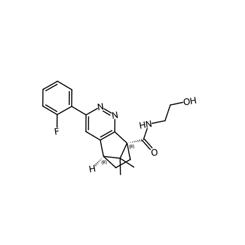 CC1(C)[C@H]2CC[C@]1(C(=O)NCCO)c1nnc(-c3ccccc3F)cc12